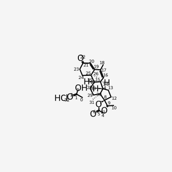 CC(=O)O.CC(=O)O[C@]1(C(C)=O)CC[C@H]2[C@@H]3C=C(C)C4=CC(=O)CC[C@]4(C)[C@H]3CC[C@@]21C.Cl